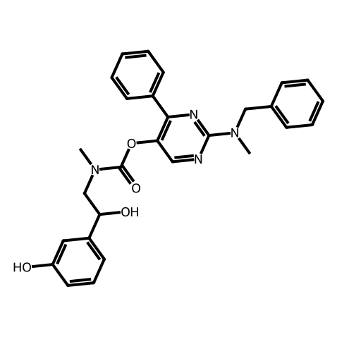 CN(CC(O)c1cccc(O)c1)C(=O)Oc1cnc(N(C)Cc2ccccc2)nc1-c1ccccc1